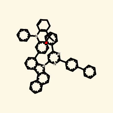 CC1(C)C2=C(C=CCC2)N(c2ccccc2)c2cc(-c3cccc4c5c6ccccc6ccc5n(-c5cc(-c6ccccc6)nc(-c6ccc(-c7ccccc7)cc6)n5)c34)ccc21